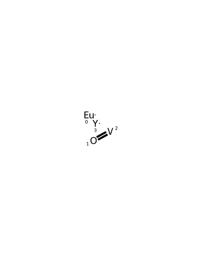 [Eu].[O]=[V].[Y]